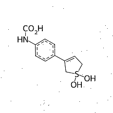 O=C(O)Nc1ccc(C2=CCS(O)(O)C2)cc1